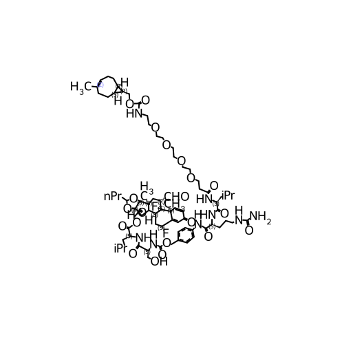 CCCC1O[C@@H]2CC3[C@@H]4C[C@H](F)C5=CC(=O)C=C[C@]5(C)[C@@]4(F)[C@@H](C=O)C[C@]3(C)[C@]2(C(=O)COC(=O)[C@H](CC(C)C)NC(=O)[C@H](CO)NC(=O)OCc2ccc(NC(=O)[C@H](CCCNC(N)=O)NC(=O)[C@@H](NC(=O)CCOCCOCCOCCOCCNC(=O)OC[C@@H]3[C@@H]4CC/C=C(/C)CC[C@@H]43)C(C)C)cc2)O1